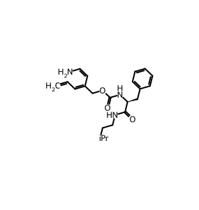 C=C/C=C(\C=C/N)COC(=O)N[C@@H](Cc1ccccc1)C(=O)NCCC(C)C